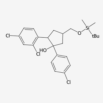 CC(C)(C)[Si](C)(C)OCC1CC(c2ccc(Cl)cc2Cl)C(O)(c2ccc(Cl)cc2)C1